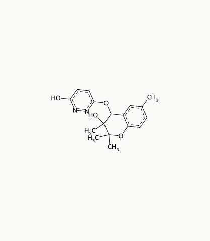 Cc1ccc2c(c1)C(Oc1ccc(O)nn1)C(C)(O)C(C)(C)O2